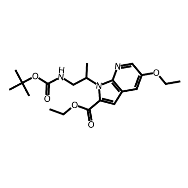 CCOC(=O)c1cc2cc(OCC)cnc2n1C(C)CNC(=O)OC(C)(C)C